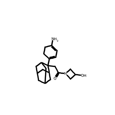 NC1=CC=C(C2(CC(=O)N3CC(O)C3)C3CC4CC(C3)CC2C4)CC1